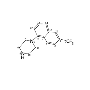 FC(F)(F)c1ccc2c(N3CCNCC3)cccc2c1